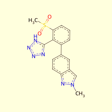 Cn1cc2cc(-c3cccc(S(C)(=O)=O)c3-c3nnn[nH]3)ccc2n1